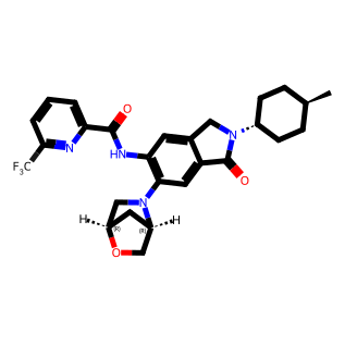 C[C@H]1CC[C@H](N2Cc3cc(NC(=O)c4cccc(C(F)(F)F)n4)c(N4C[C@H]5C[C@@H]4CO5)cc3C2=O)CC1